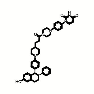 O=C(CCC1CCN(c2ccc([C@@H]3c4ccc(O)cc4CC[C@@H]3c3ccccc3)cc2)CC1)N1CCN(c2ccc(-n3ccc(=O)[nH]c3=O)cc2)CC1